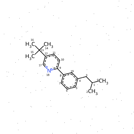 CC(C)Cc1cccc(-c2ccc(C(C)(C)C)cn2)c1